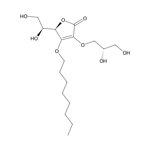 CCCCCCCCOC1=C(OC[C@@H](O)CO)C(=O)O[C@@H]1[C@@H](O)CO